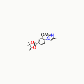 C=C1OB(c2ccc(-n3cnc(C)c3)c(OC)c2)OC1(C)C